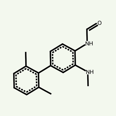 CNc1cc(-c2c(C)cccc2C)ccc1NC=O